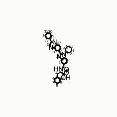 O=C(NC(Cc1ccccc1)C(=O)O)c1ccc2c(c1)nc(-c1ccc3nc(-c4ccccc4)cnc3c1)n2C1CCCCC1